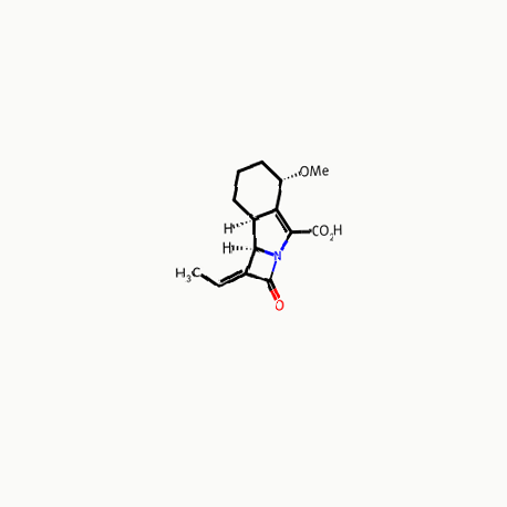 C/C=C1/C(=O)N2C(C(=O)O)=C3[C@@H](OC)CCC[C@@H]3[C@H]12